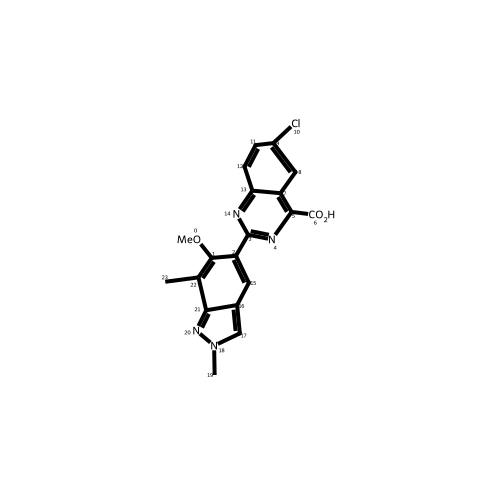 COc1c(-c2nc(C(=O)O)c3cc(Cl)ccc3n2)cc2cn(C)nc2c1C